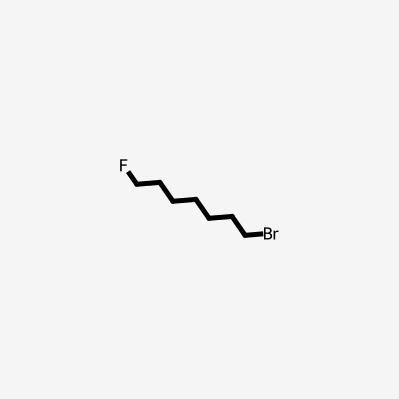 FCCCCCCCBr